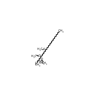 CCCCCCCCCCCCCCCCCCC(CCCCCC(OCCC)C(CC(C=COC)OC)OCCC)OCC